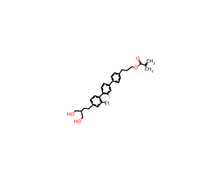 C=C(C)C(=O)OCCCc1ccc(-c2ccc(-c3ccc(CCC(CO)CO)cc3CC)c(F)c2)cc1